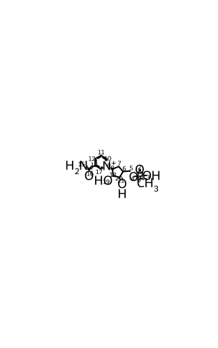 CP(=O)(O)OCC1CC([n+]2cccc(C(N)=O)c2)C(O)C1O